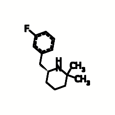 CC1(C)CCC[C@H](Cc2cccc(F)c2)N1